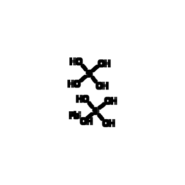 O[Si](O)(O)O.O[Si](O)(O)O.[Pb]